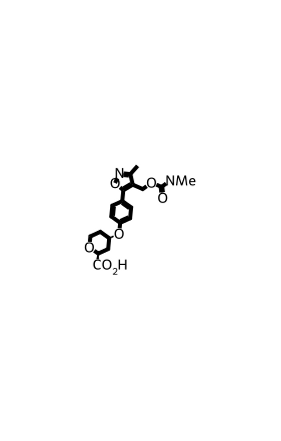 CNC(=O)OCc1c(C)noc1-c1ccc(O[C@H]2CCO[C@H](C(=O)O)C2)cc1